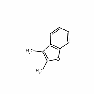 Cc1oc2ccc[c]c2c1C